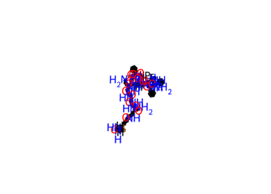 CC(C)[C@H](NC(=O)[C@H](CO)NC(=O)[C@H](Cc1ccccc1)NC(=O)[C@@H](NC(=O)[C@@H]1CCCN1C(=O)[C@@H](NC(=O)[C@H](Cc1c[nH]cn1)NC(=O)[C@H](Cc1ccccc1)NC(=O)[C@@H](N)Cc1ccccc1)C(C)C)C(C)C)C(=O)N[C@@H](CCCCN)C(=O)NCC(=O)NCC(=O)NCC(=O)N[C@@H](CCCCNC(=O)CCCC[C@@H]1SC[C@@H]2NC(=O)N[C@@H]21)C(N)=O